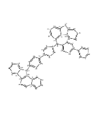 c1ccc(-c2ccc(N(c3ccc(-c4ccc(-n5c6ccccc6c6ccc7ccccc7c65)cc4)cc3)c3cccc4sc5ccccc5c34)cc2)cc1